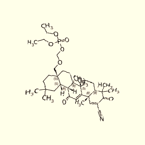 CCOP(=O)(OCC)OCOC[C@]12CCC(C)(C)C[C@H]1[C@H]1C(=O)C=C3[C@@]4(C)C=C(C#N)C(=O)C(C)(C)[C@@H]4CC[C@@]3(C)[C@]1(C)CC2